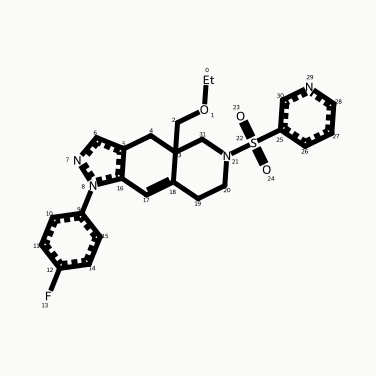 CCOCC12Cc3cnn(-c4ccc(F)cc4)c3C=C1CCN(S(=O)(=O)c1cccnc1)C2